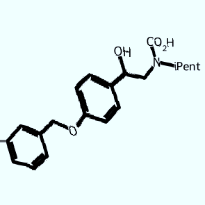 CCCC(C)N(CC(O)c1ccc(OCc2ccccc2)cc1)C(=O)O